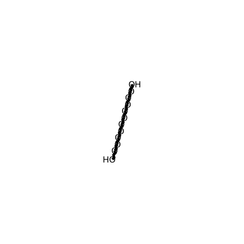 OCCCOCCOCCOCCOCCOCCOCCOCCOCCOCCOCCO